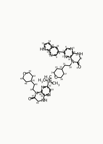 O=C1CNc2ncc(-c3cnc4[nH]ccc4c3)nc2N1CCC1CCOCC1.[CH3][Sn]([CH3])([CH3])[c]1cnc2c(n1)N(CCC1CCOCC1)C(=O)CN2